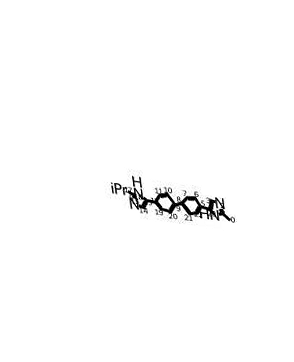 Cc1ncc(-c2ccc(-c3ccc(-c4cnc(C(C)C)[nH]4)cc3)cc2)[nH]1